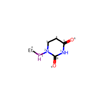 CCPN1CCC(=O)NC1=O